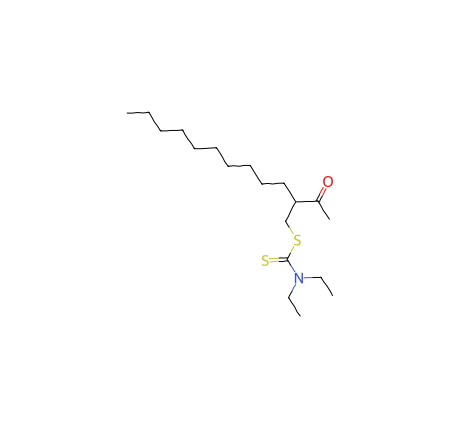 CCCCCCCCCCC(CSC(=S)N(CC)CC)C(C)=O